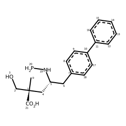 C[C@@](CO)(C[C@@H](Cc1ccc(-c2ccccc2)cc1)NP)C(=O)O